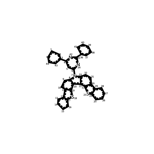 c1ccc(-c2cc(-n3c4ccc5c6ccccc6sc5c4c4c5sc6ccccc6c5ccc43)nc(-c3ccccc3)n2)cc1